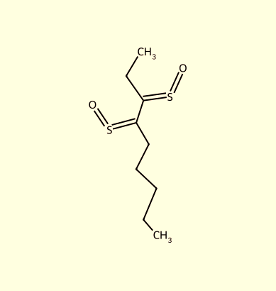 CCCCCC(=S=O)C(CC)=S=O